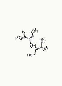 CC(O)CCO.CC=C(C)C(=O)O